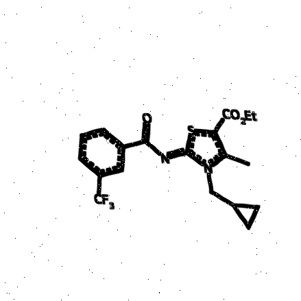 CCOC(=O)c1sc(=NC(=O)c2cccc(C(F)(F)F)c2)n(CC2CC2)c1C